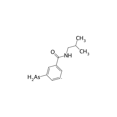 CC(C)CNC(=O)c1c[c]cc([AsH2])c1